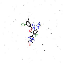 CCc1cc(Cl)cc(C(=O)Nc2cc(-c3cnc(N4CCOCC4)nc3)c(F)cc2N2CCN(C)[C@@H](C)C2)c1